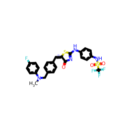 CN(Cc1ccc(/C=C2/SC(Nc3ccc(NS(=O)(=O)C(F)(F)F)cc3)=NC2=O)cc1)c1ccc(F)cc1